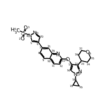 CS(=O)(=O)n1cc(-c2ccc3ccc(Oc4cn(C5CC5)nc4C4CCOCC4)nc3c2)cn1